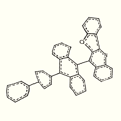 c1ccc(-c2ccc(-c3c4ccccc4c(-c4c5ccccc5nc5c4oc4ccccc45)c4ccccc34)cc2)cc1